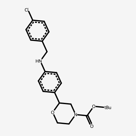 CC(C)(C)OC(=O)N1CCOC(c2ccc(NCc3ccc(Cl)cc3)cc2)C1